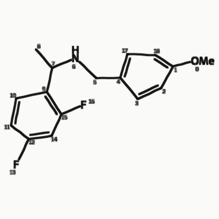 COc1ccc(CNC(C)c2ccc(F)cc2F)cc1